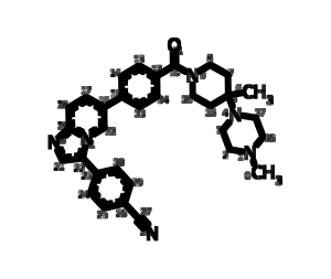 CN1CCN(C2(C)CCN(C(=O)c3ccc(-c4ccc5ncc(-c6ccc(C#N)cc6)n5c4)cc3)CC2)CC1